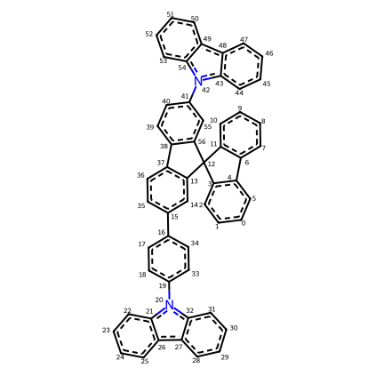 c1ccc2c(c1)-c1ccccc1C21c2cc(-c3ccc(-n4c5ccccc5c5ccccc54)cc3)ccc2-c2ccc(-n3c4ccccc4c4ccccc43)cc21